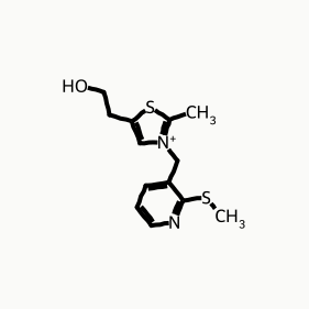 CSc1ncccc1C[n+]1cc(CCO)sc1C